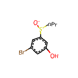 CCC[S+]([O-])c1cc(O)cc(Br)c1